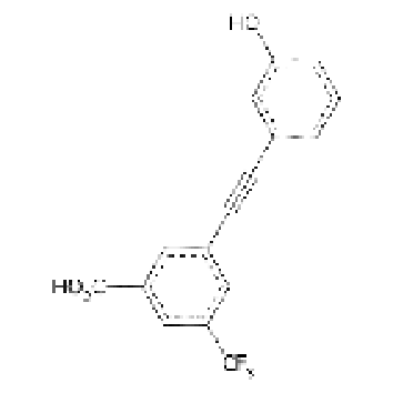 O=C(O)c1cc(C#Cc2cccc(O)c2)cc(C(F)(F)F)c1